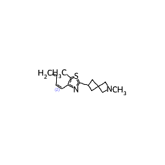 C=C/C=C\c1nc(C2CC3(C2)CN(C)C3)sc1C